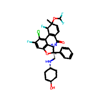 CC1(OC(F)F)C=CC(C(N)=O)=C(c2c(Cl)c(F)cc3c2C[C@@](CN[C@H]2CC[C@H](O)CC2)(c2ccccc2)O3)C1F